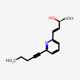 CCCCCCCC[C@H](O)/C=C/c1cccc(C#CCCC(=O)O)n1